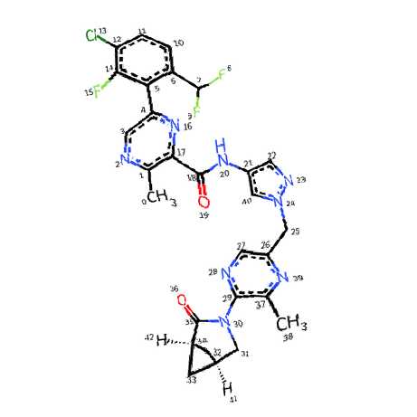 Cc1ncc(-c2c(C(F)F)ccc(Cl)c2F)nc1C(=O)Nc1cnn(Cc2cnc(N3C[C@H]4C[C@H]4C3=O)c(C)n2)c1